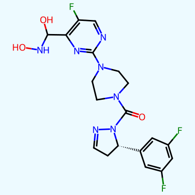 O=C(N1CCN(c2ncc(F)c(C(O)NO)n2)CC1)N1N=CC[C@H]1c1cc(F)cc(F)c1